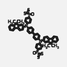 CC1(C)c2ccccc2-c2ccc(N(c3ccc(-c4ccc(N(c5ccc(P(=O)=S(=S)=S)cc5)c5ccc6c(c5)C(C)(C)c5ccccc5-6)cc4)cc3)c3ccc(P(=O)=S(=S)=S)cc3)cc21